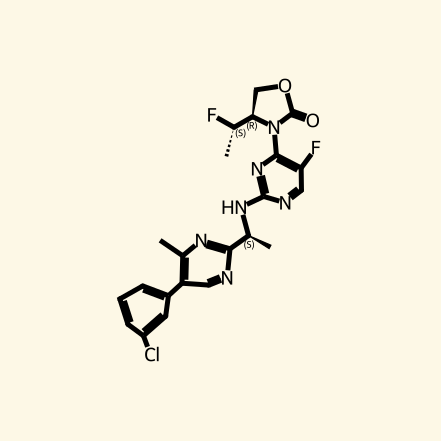 Cc1nc([C@H](C)Nc2ncc(F)c(N3C(=O)OC[C@@H]3[C@H](C)F)n2)ncc1-c1cccc(Cl)c1